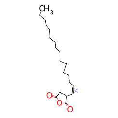 CCCCCCCCCCCCCC/C=C\C1CC(=O)OC1=O